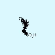 Cc1nn([C@H](C)c2ccc(Cl)cc2Cl)c2nc(N3CC(C4CCCN(C5CC(C(=O)O)C5)C4)C3)cnc12